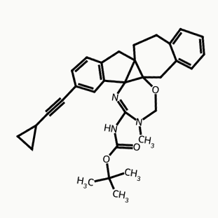 CN1COC23Cc4ccccc4CCC24Cc2ccc(C#CC5CC5)cc2C43N=C1NC(=O)OC(C)(C)C